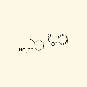 C[C@H]1C[C@H](C(=O)Oc2ccccc2)CC[C@H]1C(=O)O